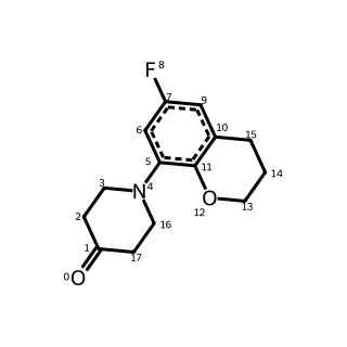 O=C1CCN(c2cc(F)cc3c2OCCC3)CC1